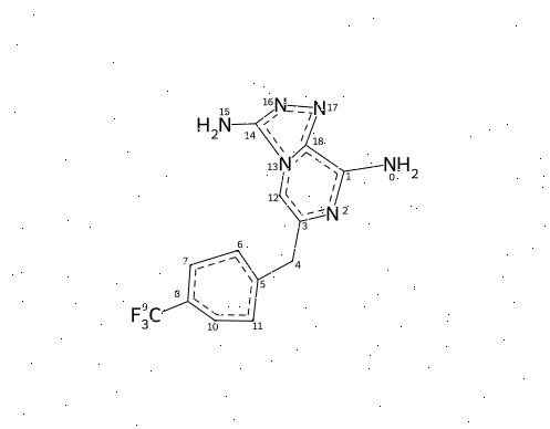 Nc1nc(Cc2ccc(C(F)(F)F)cc2)cn2c(N)nnc12